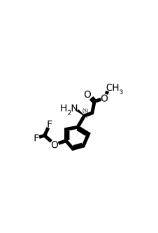 COC(=O)C[C@H](N)c1cccc(OC(F)F)c1